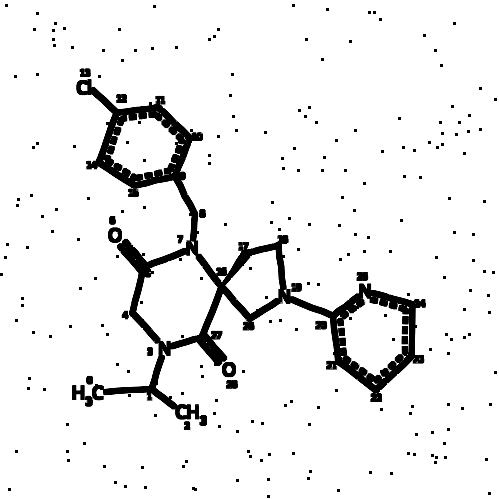 CC(C)N1CC(=O)N(Cc2ccc(Cl)cc2)[C@@]2(CCN(c3ccccn3)C2)C1=O